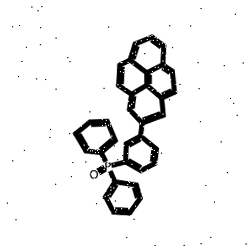 O=P(c1ccccc1)(c1ccccc1)c1cccc(-c2cc3ccc4cccc5ccc(c2)c3c45)c1